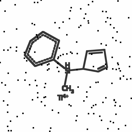 C[SiH](c1ccccc1)C1C=CC=C1.[Ti+4]